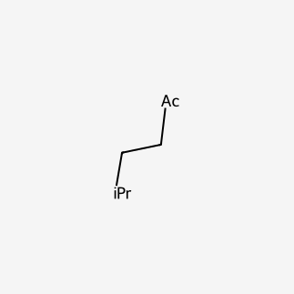 [CH2]C(=O)CCC(C)C